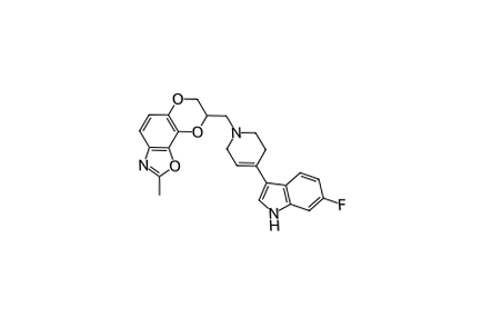 Cc1nc2ccc3c(c2o1)OC(CN1CC=C(c2c[nH]c4cc(F)ccc24)CC1)CO3